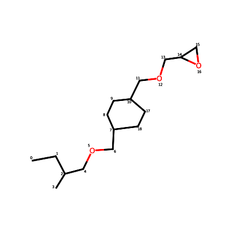 CCC(C)COCC1CCC(COCC2CO2)CC1